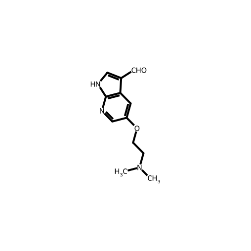 CN(C)CCOc1cnc2[nH]cc(C=O)c2c1